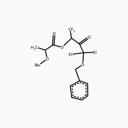 CCC(C)OC(C)C(=O)OC(C(=O)C(CC)(CC)OCc1ccccc1)C(F)(F)F